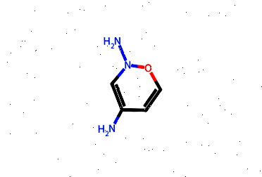 NC1=CN(N)OC=C1